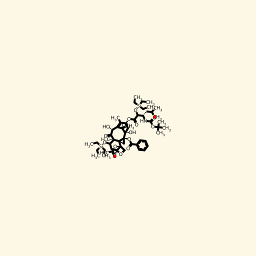 CC[Si](CC)(CC)OC(C(=O)O[C@H]1C[C@]2(O)C(C)(C)C(=C1C)[C@@H](O)C(=O)[C@]1(C)C(O[Si](CC)(CC)CC)C[C@H]3OC[C@@]3(OC(C)=O)[C@]13C[C@]32OC(=O)c1ccccc1)[C@H](CC(C)C)NC(=O)OC(C)(C)C